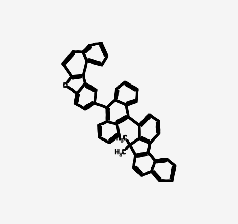 CC1(C)c2ccc3ccccc3c2-c2cccc(-c3c4ccccc4c(-c4ccc5oc6ccc7ccccc7c6c5c4)c4ccccc34)c21